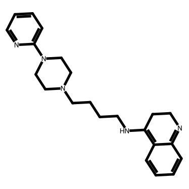 c1ccc(N2CCN(CCCCNC3=c4ccccc4=NCC3)CC2)nc1